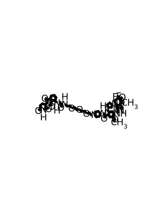 COc1cc(C(=O)NC2CCN(CCOCCOCCOCCNC(=O)CNc3cccc4c3C(=O)N(C3CCC(=O)NC3=O)C4=O)CC2)c(F)cc1Nc1ncc2c(n1)N(C1CCCC1)CC(F)(F)C(=O)N2C